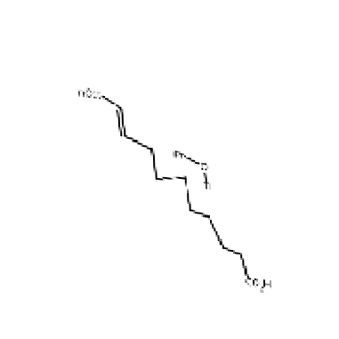 CC(C)[O][Ti].CCCCCCCCC=CCCCCCCCC(=O)O